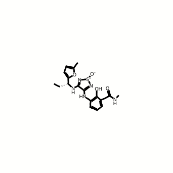 CC[C@@H](Nc1n[s+]([O-])nc1Nc1cccc(C(=O)NC)c1O)c1ccc(C)o1